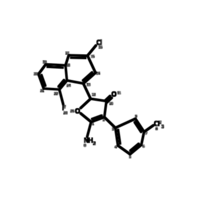 NC1=C(c2cccc(C(F)(F)F)c2)C(=O)C(c2cc(Cl)cc3cccc(F)c23)O1